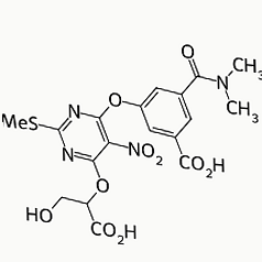 CSc1nc(Oc2cc(C(=O)O)cc(C(=O)N(C)C)c2)c([N+](=O)[O-])c(OC(CO)C(=O)O)n1